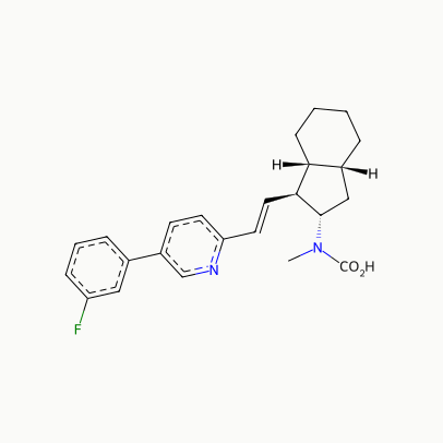 CN(C(=O)O)[C@H]1C[C@H]2CCCC[C@H]2[C@@H]1C=Cc1ccc(-c2cccc(F)c2)cn1